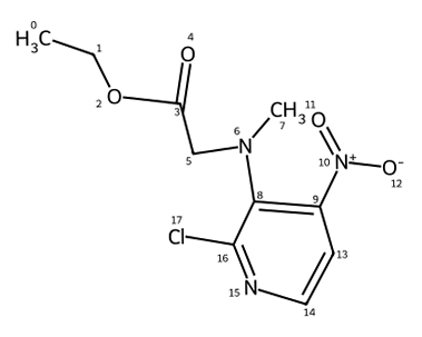 CCOC(=O)CN(C)c1c([N+](=O)[O-])ccnc1Cl